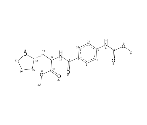 COC(=O)Nc1ccc(C(=O)NC(C[C@@H]2CCCO2)C(=O)OC)cc1